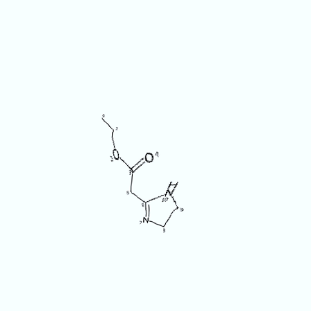 CCOC(=O)CC1=NCCN1